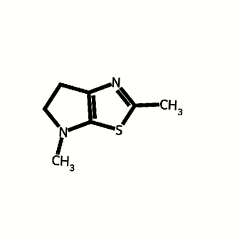 Cc1nc2c(s1)N(C)CC2